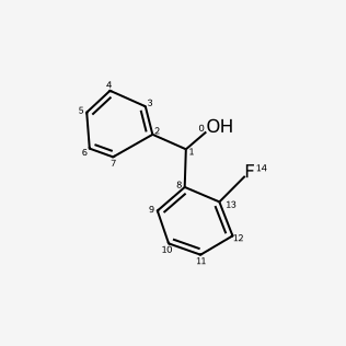 OC(c1ccccc1)c1ccccc1F